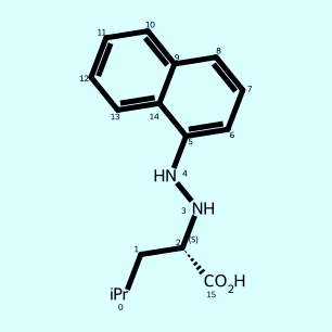 CC(C)C[C@H](NNc1cccc2ccccc12)C(=O)O